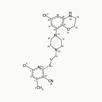 Cc1cc(Cl)nc(SCCN2CCN(c3cc(Cl)cc4c3OCCN4)CC2)c1C#N